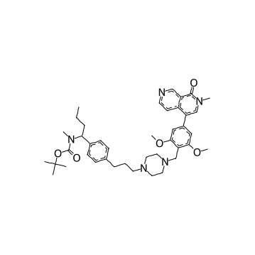 CCCC(c1ccc(CCCN2CCN(Cc3c(OC)cc(-c4cn(C)c(=O)c5cnccc45)cc3OC)CC2)cc1)N(C)C(=O)OC(C)(C)C